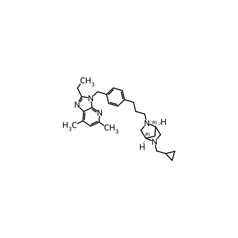 CCc1nc2c(C)cc(C)nc2n1Cc1ccc(CCCN2C[C@H]3C[C@@H]2CN3CC2CC2)cc1